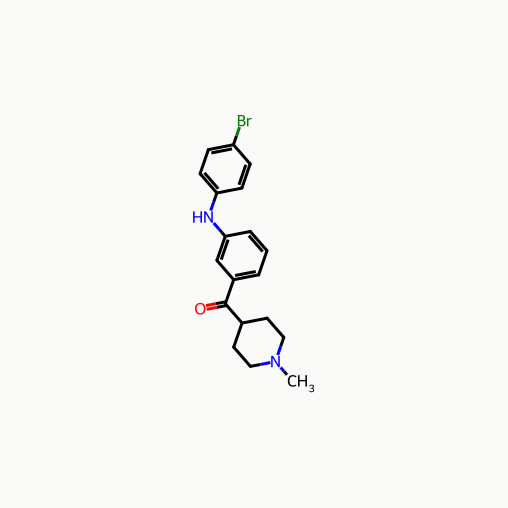 CN1CCC(C(=O)c2cccc(Nc3ccc(Br)cc3)c2)CC1